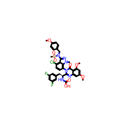 COc1ccc(CN(c2nn(C)c3c(-n4c([C@H](Cc5cc(F)cc(F)c5)NC(=O)O)nc5cc(OC)cc(OC)c5c4=O)ccc(Cl)c23)S(C)(=O)=O)cc1